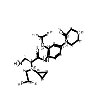 NC[C@@H](C(=O)Nc1ccc(N2CCOCC2=O)cc1OC(F)F)N(CC(F)F)C1CC1